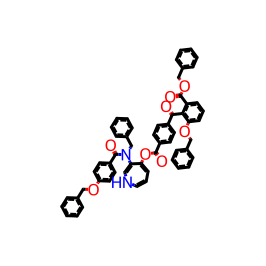 O=C(OC1=CC=CNC=C1N(Cc1ccccc1)C(=O)c1ccc(OCc2ccccc2)cc1)c1ccc(C(=O)c2c(OCc3ccccc3)cccc2C(=O)OCc2ccccc2)cc1